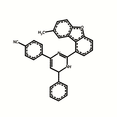 Cc1ccc2oc3cccc(C4=NC(c5ccc(C#N)cc5)=CC(c5ccccc5)N4)c3c2c1